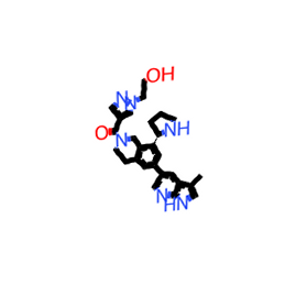 Cc1c[nH]c2ncc(-c3cc4c(c([C@@H]5CCCN5)c3)CN(C(=O)c3cnn(CCO)c3)CC4)cc12